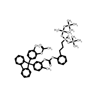 CC(=O)Oc1cc(C2(c3ccc(C)c(OC(=O)Oc4ccccc4CCC[Si](C)(O[Si](C)(C)C)O[Si](C)(C)O[Si](C)(C)C)c3)c3ccccc3-c3ccccc32)ccc1C